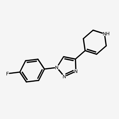 Fc1ccc(-n2cc(C3=CCNCC3)nn2)cc1